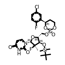 CC(C)(C)[Si](C)(C)O[C@@H]1[C@@H](CO[P@]2(=O)OCC[C@H](c3cc(Cl)ccc3F)O2)O[C@@H](n2ccc(=O)[nH]c2=O)[C@]1(C)F